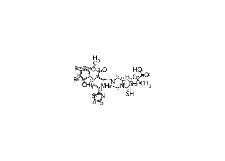 COC(=O)C1=C(CN2CCN3C(C2)CN(CC(C)(C)C(=O)O)C3S)NC(c2nccs2)=CC1c1ccc(F)c(F)c1C